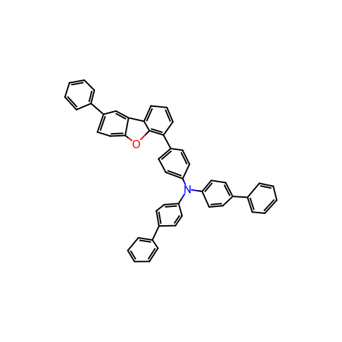 c1ccc(-c2ccc(N(c3ccc(-c4ccccc4)cc3)c3ccc(-c4cccc5c4oc4ccc(-c6ccccc6)cc45)cc3)cc2)cc1